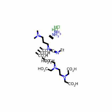 C=C.CC(=O)O.CC(=O)O.CC(=O)O.CC(=O)O.CCN=C=NCCCN(C)C.Cl.Cl.N.N.O=C(O)CN(CCN(CC(=O)O)CC(=O)O)CC(=O)O